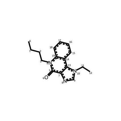 CCCCn1c(=O)c2ncn(CC)c2c2ccccc21